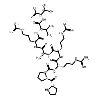 CC(C)[C@H](NC(=O)[C@H](CCCNC(=N)N)NC(=O)[C@H](C)NC(=O)[C@H](CCCNC(=N)N)NC(=O)[C@H](CCCNC(=N)N)NC(=O)[C@@H]1CCCN1C(=O)[C@@H]1CCCN1)C(=O)N[C@H](C(=O)O)[C@@H](C)O